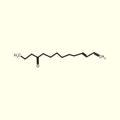 C=C/C=C/CCCCCCC(=O)CCC